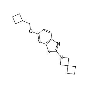 c1cc2nc(N3CC4(CCC4)C3)sc2nc1OCC1CCC1